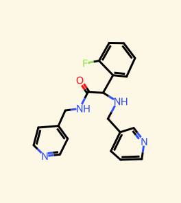 O=C(NCc1ccncc1)C(NCc1cccnc1)c1ccccc1F